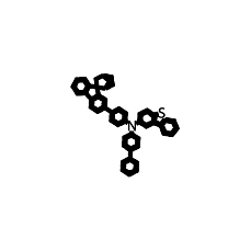 c1ccc(-c2ccc(N(c3ccc(-c4ccc5c(c4)C4(CC6CCC4C6)c4ccccc4-5)cc3)c3ccc4sc5ccccc5c4c3)cc2)cc1